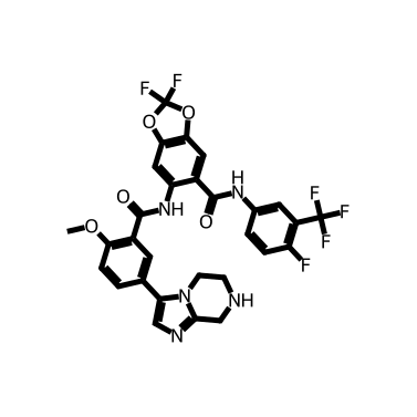 COc1ccc(-c2cnc3n2CCNC3)cc1C(=O)Nc1cc2c(cc1C(=O)Nc1ccc(F)c(C(F)(F)F)c1)OC(F)(F)O2